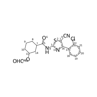 N#Cc1sc(NC(=O)C2CCCC(OC=O)C2)nc1-c1ccccc1Cl